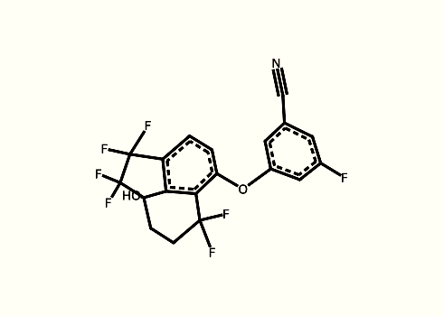 N#Cc1cc(F)cc(Oc2ccc3c4c2C(F)(F)CCC4(O)C(F)(F)C3(F)F)c1